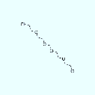 ClCCOCCOCOCCOCCCl